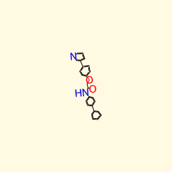 O=C(COc1ccc(-c2cccnc2)cc1)Nc1ccc(-c2ccccc2)cc1